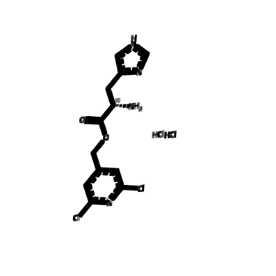 Cl.Cl.N[C@@H](Cc1c[nH]cn1)C(=O)OCc1cc(Cl)nc(Cl)c1